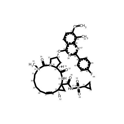 COc1ccc2c(O[C@@H]3C[C@H]4C(=O)NC5(C(=O)NS(=O)(=O)C6CC6)C[C@H]5/C=C\CCCCN(C)C(=O)N4C3)nc(-c3ccc(F)cc3)nc2c1C